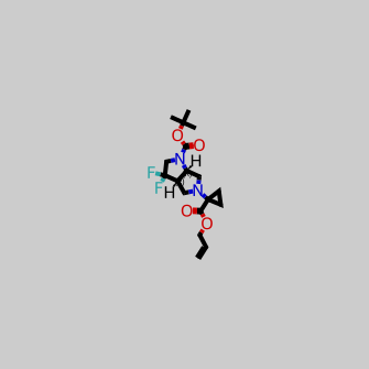 C=CCOC(=O)C1(N2C[C@@H]3[C@H](C2)N(C(=O)OC(C)(C)C)CC3(F)F)CC1